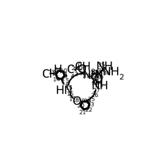 CC(C)[C@H]1CC[C@@H](Cc2cccc(Cl)c2)NCCOc2ccccc2CCCNC(=O)[C@H](CNC(=N)N)NC1=O